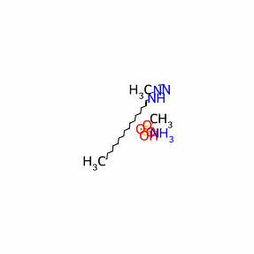 CCCCCCCCCCCCCCCC=CNC(C)N1C=NCC1.CCOS(=O)(=O)O.N